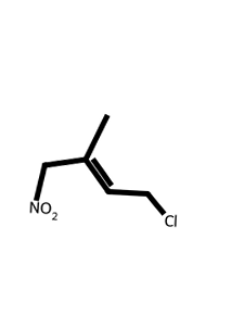 CC(=CCCl)C[N+](=O)[O-]